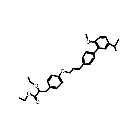 CCOC(=O)C(Cc1ccc(OCC=Cc2ccc(-c3cc(C(C)C)ccc3OC)cc2)cc1)OCC